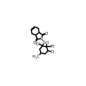 CC1CC(Cl)C(Cl)(C(C)C)C(Cl)(SN2C(=O)C3CC=CCC3C2=O)C1